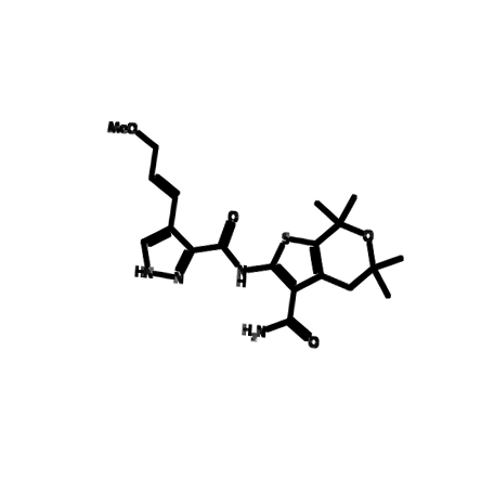 COCC=Cc1c[nH]nc1C(=O)Nc1sc2c(c1C(N)=O)CC(C)(C)OC2(C)C